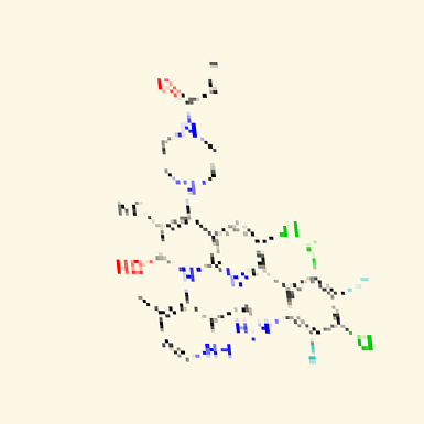 C=CC(=O)N1CCN(C2=C(C#N)C(O)N(C3=C(C)C=CNC3C(C)C)c3nc(-c4c(N)c(F)c(Cl)c(F)c4Cl)c(Cl)cc32)CC1